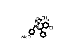 COc1ccc(CN2N=C(c3ccccc3)c3cc(Cl)ccc3-n3c(C)nnc32)cc1